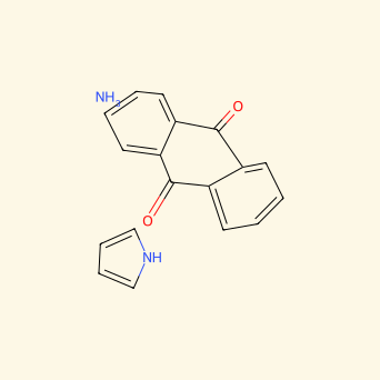 N.O=C1c2ccccc2C(=O)c2ccccc21.c1cc[nH]c1